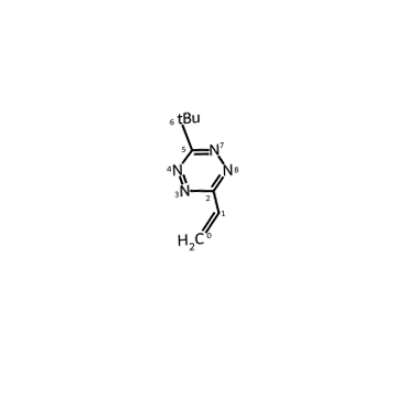 C=Cc1nnc(C(C)(C)C)nn1